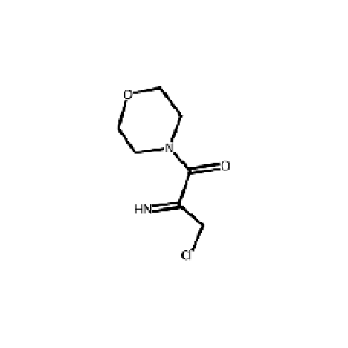 N=C(CCl)C(=O)N1CCOCC1